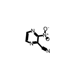 N#Cc1nccnc1[N+](=O)[O-]